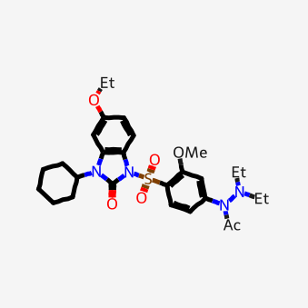 CCOc1ccc2c(c1)n(C1CCCCC1)c(=O)n2S(=O)(=O)c1ccc(N(C(C)=O)N(CC)CC)cc1OC